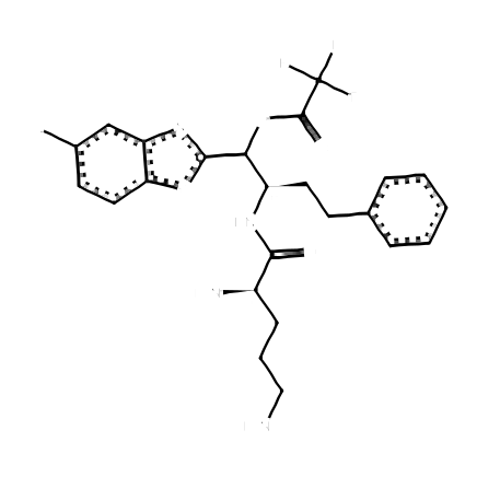 NCCC[C@@H](N)C(=O)N[C@H](CCc1ccccc1)C(OC(=O)C(F)(F)F)c1nc2cc(Cl)ccc2o1